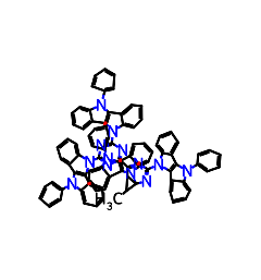 CC1C2C(c3nc(-n4c5ccccc5c5c4c4ccccc4n5-c4ccccc4)nc(-n4c5ccccc5c5c4c4ccccc4n5-c4ccccc4)n3)=NC(n3c4ccccc4c4c3c3ccccc3n4-c3ccccc3)=NC12n1c2ccccc2c2c1c1ccccc1n2-c1ccccc1